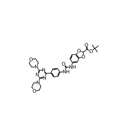 CC(C)(C)OC(=O)C1Oc2ccc(NC(=O)Nc3ccc(-c4nc(N5CCOCC5)nc(N5CCOCC5)n4)cc3)cc2O1